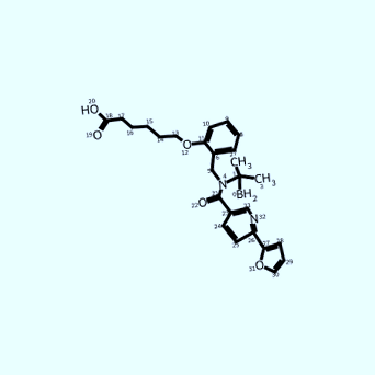 BC(C)(C)N(Cc1ccccc1OCCCCCC(=O)O)C(=O)c1ccc(-c2ccco2)nc1